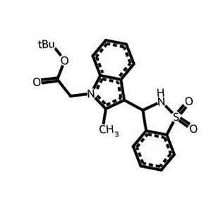 Cc1c(C2NS(=O)(=O)c3ccccc32)c2ccccc2n1CC(=O)OC(C)(C)C